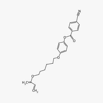 C=CC(=C)OCCCCCCOc1ccc(OC(=O)c2ccc(C#N)cc2)cc1